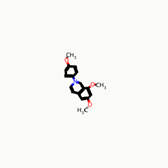 COc1ccc(N2C=Cc3cc(OC)cc(OC)c3C2)cc1